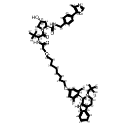 Cc1ncsc1-c1ccc(CNC(=O)[C@@H]2C[C@@H](O)CN2C(=O)[C@@H](NC(=O)COCCCCCCCCOc2cc(F)c([C@@H]3c4[nH]c5ccccc5c4C[C@@H](C)N3CC(C)(C)F)c(F)c2)C(C)(C)C)cc1